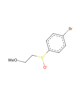 COCC[S+]([O-])c1ccc(Br)cc1